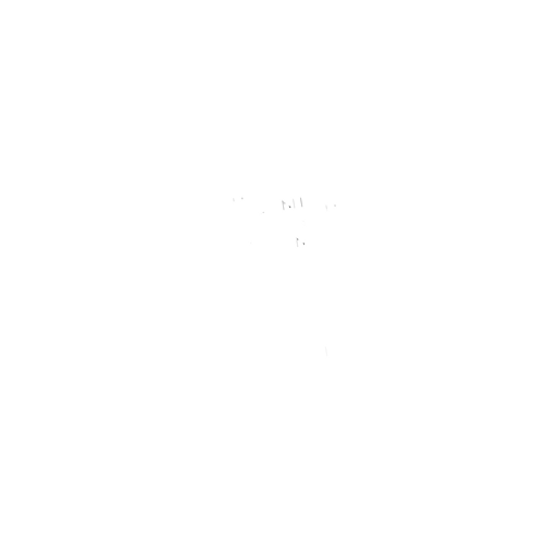 Cc1ccccc1COCc1cn([C@@H]2CC(O)[C@H](CO)O2)c(=O)[nH]c1=O